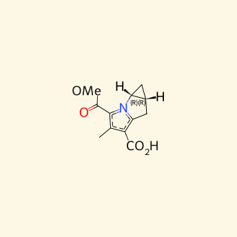 COC(=O)c1c(C)c(C(=O)O)c2n1[C@@H]1C[C@@H]1C2